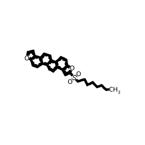 CCCCCCCCS(=O)(=O)c1cc2c(ccc3c2ccc2c4ccc5occc5c4ccc32)o1